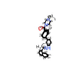 CC(NC1CCCC(c2ccc(C(=O)N3CCN(C)CC3)cc2)C1)c1cccc2ccccc12